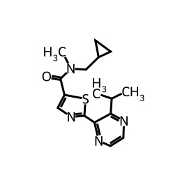 CC(C)c1nccnc1-c1ncc(C(=O)N(C)CC2CC2)s1